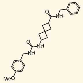 COc1ccc(CNC(=O)NC2CC3(C2)CC(C(=O)NCc2ccccc2)C3)cc1